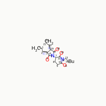 C=C/C=C1/C(=O)N(C2CCC(=O)N(CC(C)CC)C2=O)C(=O)/C1=C/C=C